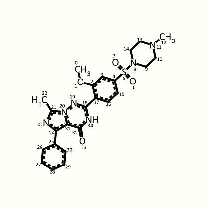 COc1cc(S(=O)(=O)N2CCN(C)CC2)ccc1-c1nn2c(C)nc(-c3ccccc3)c2c(=O)[nH]1